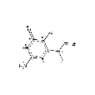 C=CN(C)c1nc(N)[nH]c(=O)c1C